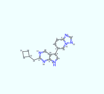 c1nc2ccc(-c3c[nH]c4nc(CC5CCC5)ncc34)cn2n1